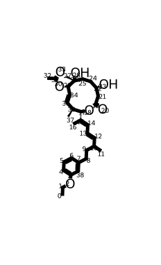 CCOc1cccc(CCC(C)/C=C/C=C(\C)[C@H]2OC(=O)C[C@H](O)CC[C@@](C)(O)[C@@H](OC(C)=O)/C=C/[C@@H]2C)c1